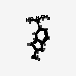 C[SH](C)c1ccc2sc(N)nc2c1